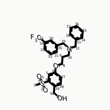 CS(=O)(=O)c1cc(OCCCN(Cc2ccccc2)Cc2cccc(C(F)(F)F)c2)ccc1CO